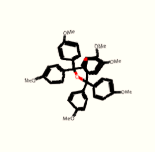 COc1ccc(C(OC(c2ccc(OC)cc2)(c2ccc(OC)cc2)c2ccc(OC)cc2)(c2ccc(OC)cc2)c2ccc(OC)cc2)cc1